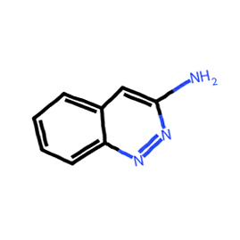 Nc1cc2ccccc2nn1